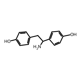 NC(Cc1ccc(O)cc1)c1ccc(O)cc1